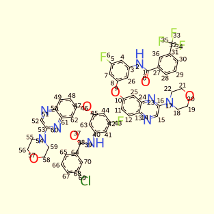 O=C(Nc1cc(F)cc(Oc2ccc3ncc(N4CCOCC4)nc3c2)c1)c1cccc(C(F)(F)F)c1.O=C(Nc1cc(F)cc(Oc2ccc3ncc(N4CCOCC4)nc3c2)c1)c1cccc(Cl)c1